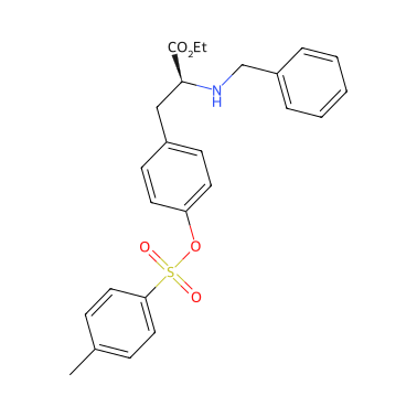 CCOC(=O)[C@H](Cc1ccc(OS(=O)(=O)c2ccc(C)cc2)cc1)NCc1ccccc1